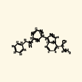 NC(=O)c1cccc2c(-c3ncnc(NCc4ccccc4)n3)ncn12